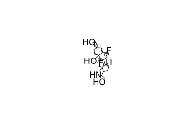 CC12CC(O)[C@@]3(F)C(C[C@H](F)C4=C/C(=N/O)C=CC43C)[C@@H]1CCC2C(=N)CO